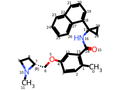 Cc1ccc(OC[C@H]2CCN2C)cc1C(=O)NC1(c2cccc3ccccc23)CC1